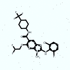 Cn1c(Nc2c(F)cccc2Cl)nc2cc(C(=O)NC3CCC(C(F)(F)F)CC3)c(OCC(F)F)nc21